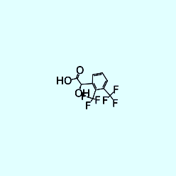 O=C(O)[C@H](O)c1cccc(C(F)(F)F)c1C(F)(F)F